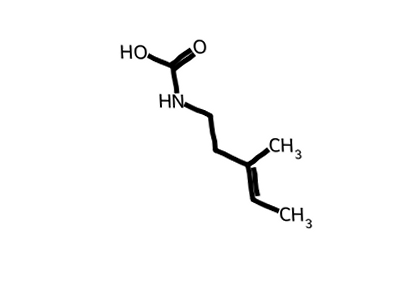 C/C=C(\C)CCNC(=O)O